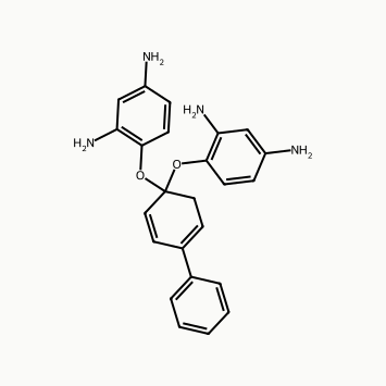 Nc1ccc(OC2(Oc3ccc(N)cc3N)C=CC(c3ccccc3)=CC2)c(N)c1